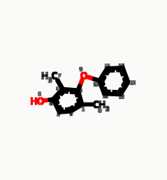 Cc1ccc(O)c(C)c1Oc1ccccc1